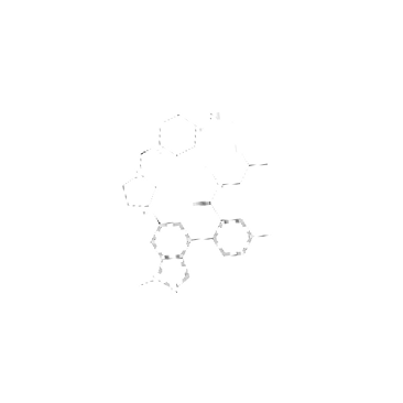 CC(C)N(CC(F)F)C(=O)c1cc(F)ccc1-c1cc([C@H]2CCN(C[C@@H]3CC[C@@H](N)CO3)C2)cc2c1cnn2C